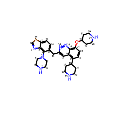 c1nc2c(N3CCNCC3)c(Cc3cc4c(C5CCNCC5)ccc(OC5CCNCC5)c4nn3)ccc2s1